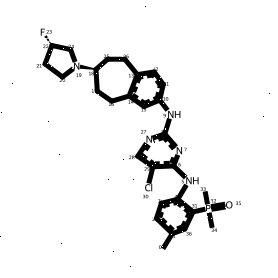 Cc1ccc(Nc2nc(Nc3ccc4c(c3)CC[C@@H](N3CC[C@H](F)C3)CC4)ncc2Cl)c(P(C)(C)=O)c1